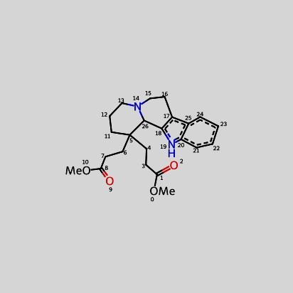 COC(=O)CCC1(CCC(=O)OC)CCCN2CCc3c([nH]c4ccccc34)C21